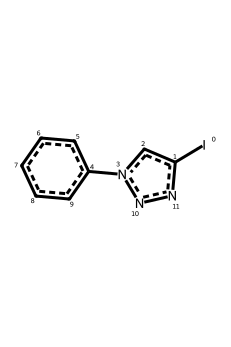 Ic1cn(-c2ccccc2)nn1